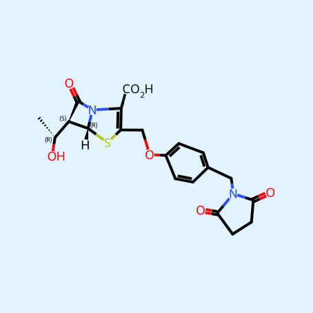 C[C@@H](O)[C@H]1C(=O)N2C(C(=O)O)=C(COc3ccc(CN4C(=O)CCC4=O)cc3)S[C@H]12